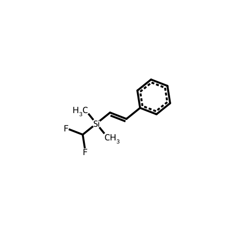 C[Si](C)(C=Cc1ccccc1)C(F)F